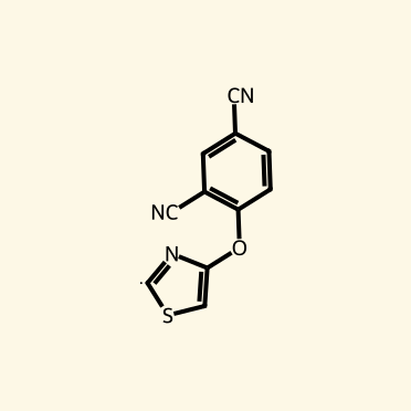 N#Cc1ccc(Oc2cs[c]n2)c(C#N)c1